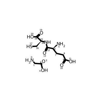 NCC(=O)O.N[C@@H](CCC(=O)O)C(=O)N[C@@H](CS)C(=O)O